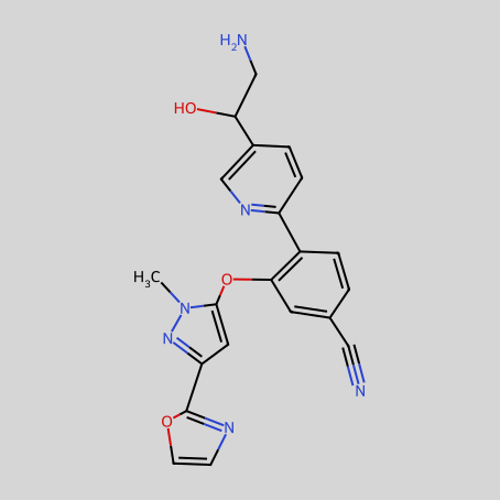 Cn1nc(-c2ncco2)cc1Oc1cc(C#N)ccc1-c1ccc(C(O)CN)cn1